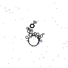 CCOC(=O)[C@@]12C[C@H]1/C=C\CCCCC[C@H](C)C(=O)N1C[C@@H](OS(=O)(=O)c3ccc(Br)cc3)C[C@H]1C(=O)N2